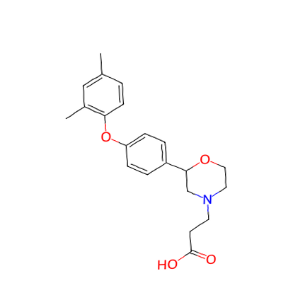 Cc1ccc(Oc2ccc(C3CN(CCC(=O)O)CCO3)cc2)c(C)c1